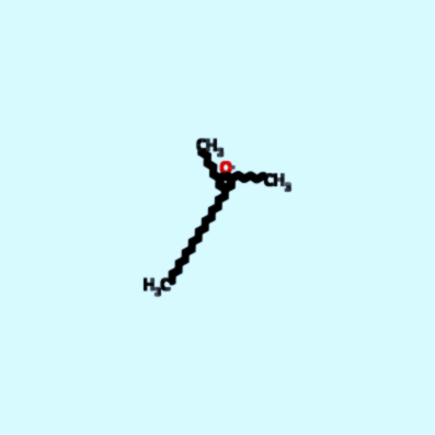 CCCCCCCCCCCCCCCCCCc1cc(CCCCCC)c([O])c(CCCCCC)c1